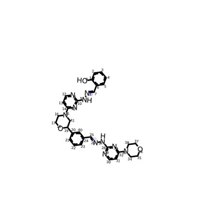 Oc1ccccc1/C=N/Nc1nccc(N2CCOC(c3cccc(/C=N/Nc4nccc(N5CCOCC5)n4)c3)C2)n1